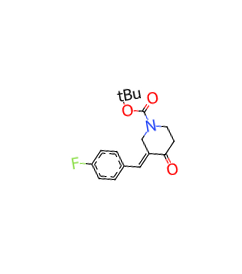 CC(C)(C)OC(=O)N1CCC(=O)C(=Cc2ccc(F)cc2)C1